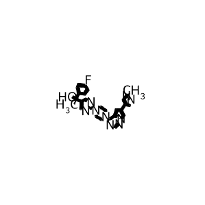 Cn1cc(-c2cc3c(N4CCN(c5ncc([C@](C)(O)c6ccc(F)cc6)cn5)CC4)ncnn3c2)cn1